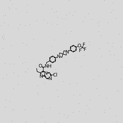 CCc1nc2cnc(Cl)cn2c1C(=O)NCc1ccc(N2CC3(C2)CN(c2ccc(OC(F)(F)F)cc2)C3)cc1